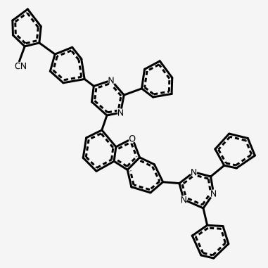 N#Cc1ccccc1-c1ccc(-c2cc(-c3cccc4c3oc3cc(-c5nc(-c6ccccc6)nc(-c6ccccc6)n5)ccc34)nc(-c3ccccc3)n2)cc1